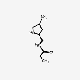 CCC(=O)NC[C@@H]1C[C@H](N)CN1